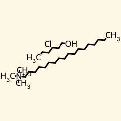 CCCCCCCCCCCCCCCCCC[N+](C)(C)C.CCCCCCO.[Cl-]